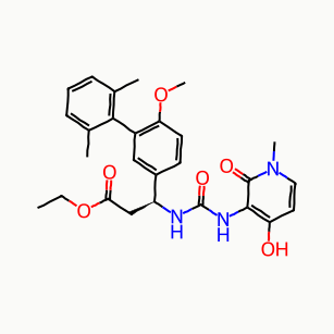 CCOC(=O)C[C@H](NC(=O)Nc1c(O)ccn(C)c1=O)c1ccc(OC)c(-c2c(C)cccc2C)c1